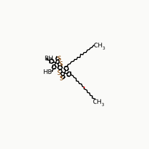 B=Cc1ccc(C2(c3ccc(C=B)cc3)c3ccsc3-c3sc4cc5c6c(sc5cc4c32)-c2sccc2C6(c2ccc(CCCCCCCCCCCCCCCCCC)cc2)c2ccc(CCCCCCCCCCCCCCCCCC)cc2)cc1